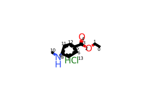 CCOC(=O)c1ccc(NC)cc1.Cl